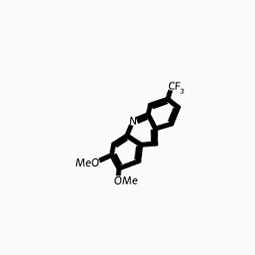 COc1cc2cc3ccc(C(F)(F)F)cc3nc2cc1OC